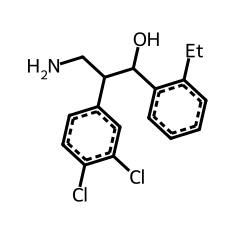 CCc1ccccc1C(O)C(CN)c1ccc(Cl)c(Cl)c1